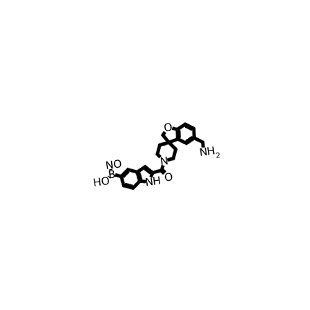 NCc1ccc2c(c1)C1(CCN(C(=O)c3cc4cc(B(O)N=O)ccc4[nH]3)CC1)CO2